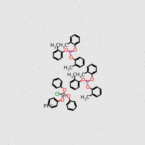 Cc1ccccc1OP(Oc1ccccc1C)Oc1ccccc1C.Cc1ccccc1OP(Oc1ccccc1C)Oc1ccccc1C.[Cl][Sn]([O]c1ccccc1)([O]c1ccccc1)[O]c1ccccc1.[Pt+2]